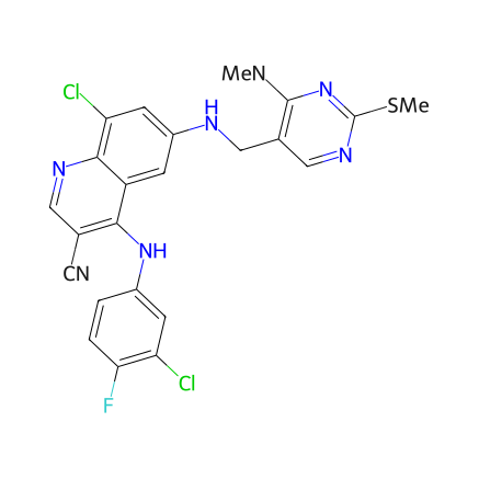 CNc1nc(SC)ncc1CNc1cc(Cl)c2ncc(C#N)c(Nc3ccc(F)c(Cl)c3)c2c1